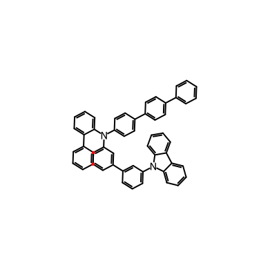 c1ccc(-c2ccc(-c3ccc(N(c4cccc(-c5cccc(-n6c7ccccc7c7ccccc76)c5)c4)c4ccccc4-c4ccccc4)cc3)cc2)cc1